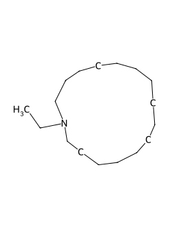 CCN1CCCCCCCCCCCCCCC1